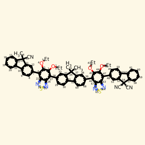 CCOc1c(OCC)c(-c2ccc3c(c2)C(C)(C#N)c2ccccc2-3)c2nsnc2c1-c1ccc2c(c1)C(C)(C)c1cc(-c3c(OCC)c(OCC)c(-c4ccc5c(c4)C(C#N)(C#N)c4ccccc4-5)c4nsnc34)ccc1-2